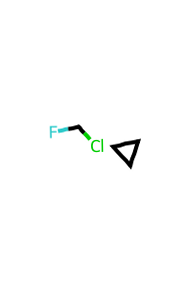 C1CC1.FCCl